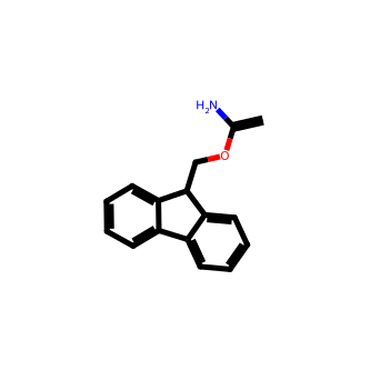 C=C(N)OCC1c2ccccc2-c2ccccc21